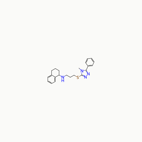 Cn1c(SCCCNC2CCCc3ccccc32)nnc1-c1ccccc1